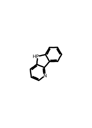 c1ccc2c(c1)[pH]c1cccnc12